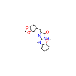 COc1ccccc1N(C)C1=NC(=Cc2ccc3c(c2)OCO3)C(=O)N1